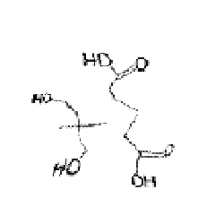 CC(C)(CO)CO.O=C(O)CCCC(=O)O